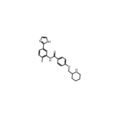 Cc1ccc(-c2ncc[nH]2)cc1NC(=O)c1ccc(OCC2CCCCN2)cc1